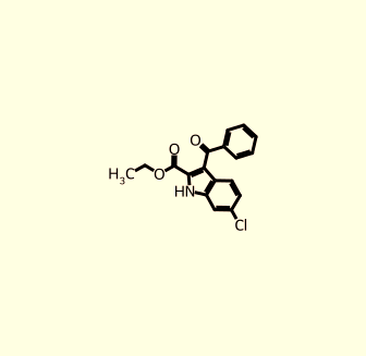 CCOC(=O)c1[nH]c2cc(Cl)ccc2c1C(=O)c1ccccc1